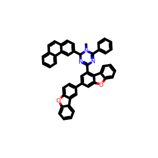 CN1C(c2ccccc2)=NC(c2cc(-c3ccc4oc5ccccc5c4c3)cc3oc4ccccc4c23)=NC1c1ccc2ccc3ccccc3c2c1